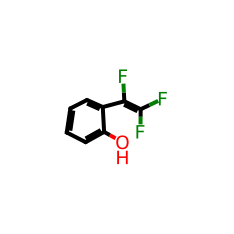 Oc1ccccc1C(F)=C(F)F